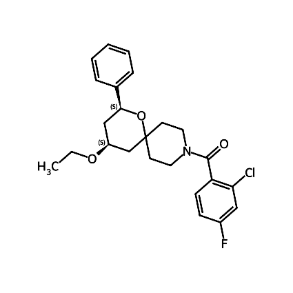 CCO[C@H]1C[C@@H](c2ccccc2)OC2(CCN(C(=O)c3ccc(F)cc3Cl)CC2)C1